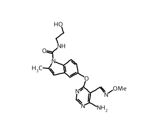 CO/N=C/c1c(N)ncnc1Oc1ccc2c(c1)cc(C)n2C(=O)NCCO